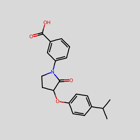 CC(C)c1ccc(OC2CCN(c3cccc(C(=O)O)c3)C2=O)cc1